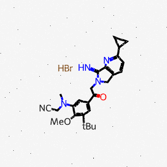 Br.COc1c(N(C)CC#N)cc(C(=O)CN2Cc3ccc(C4CC4)nc3C2=N)cc1C(C)(C)C